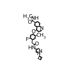 CNC(=O)c1ccc2nccc(Oc3cc(F)c(CC(=O)Nc4cnn(C56CC(C5)C6)c4)cc3C)c2c1